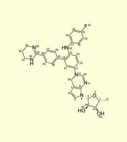 C[C@H]1O[C@@H](n2ccc3c2N=CN(c2ccc(Nc4ccc(F)cc4)c(-c4ccc(C5=NCCCN5)cc4)c2)C3)[C@H](O)[C@@H]1O